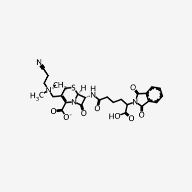 C[N+](C)(CCC#N)CC1=C(C(=O)[O-])N2C(=O)[C@@H](NC(=O)CCCC(C(=O)O)N3C(=O)c4ccccc4C3=O)[C@@H]2SC1